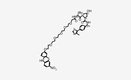 Cc1ncsc1-c1ccc([C@H](C)NC(=O)[C@@H]2C[C@@H](O)CN2C(=O)[C@@H](NC(=O)COCCOCCOCCOCCOCCOc2ccc3c(c2)Sc2cc([N+](=O)[O-])ccc2N3)C(C)(C)C)cc1